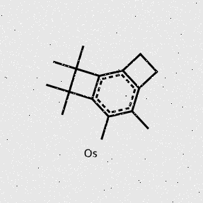 Cc1c(C)c2c(c3c1CC3)C(C)(C)C2(C)C.[Os]